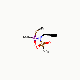 C#CCN(P(=O)(NC)SC(C)C)S(=O)(=O)C(F)(F)F